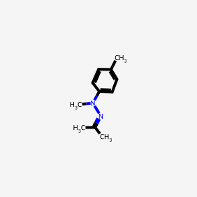 CC(C)=NN(C)c1ccc(C)cc1